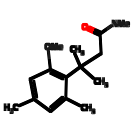 CNC(=O)CC(C)(C)c1c(C)cc(C)cc1OC